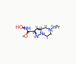 CCCN1CCn2nc(C(=O)NO)cc2C1